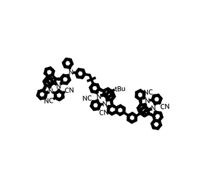 CC(C)(C)c1ccc2c(c1)c1cc(C(C)(C)Cc3ccc(N(c4ccccc4)c4ccc5c(c4)c4c6ccccc6ccc4n5-c4c(C#N)ccc(C#N)c4-n4c5ccccc5c5ccccc54)cc3)ccc1n2-c1c(C#N)ccc(C#N)c1-n1c2ccccc2c2c3ccc(-c4cccc(-c5ccc6c(c5)c5c7ccccc7ccc5n6-c5c(C#N)ccc(C#N)c5-n5c6ccccc6c6ccccc65)c4)cc3ccc21